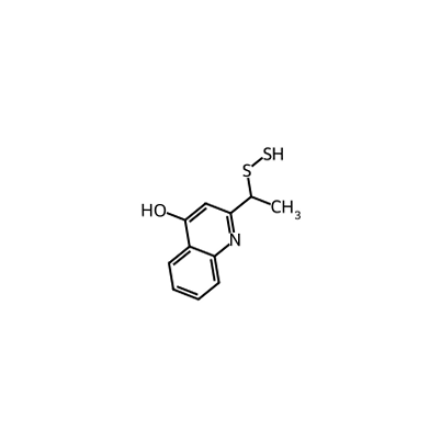 CC(SS)c1cc(O)c2ccccc2n1